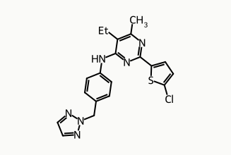 CCc1c(C)nc(-c2ccc(Cl)s2)nc1Nc1ccc(Cn2nccn2)cc1